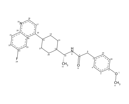 COc1ccc(CC(=O)N[C@H](C)C2CCC(c3ccnc4ccc(F)cc34)CC2)cc1